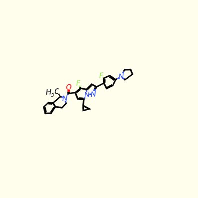 C[C@@H]1c2ccccc2CCN1C(=O)c1cc(C2CC2)n2nc(-c3ccc(N4CCCC4)cc3F)cc2c1F